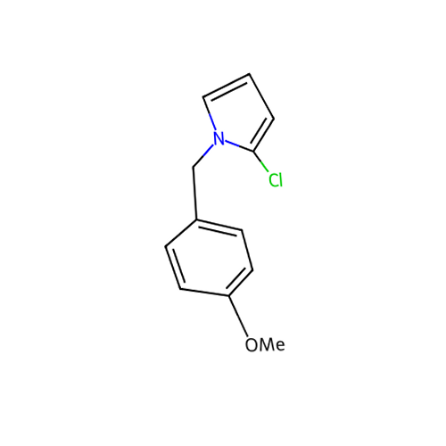 COc1ccc(Cn2cccc2Cl)cc1